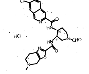 CN1CCc2nc(C(=O)N[C@@H]3CN(C=O)CC[C@@H]3NC(=O)c3cc4ccc(Cl)cc4cn3)sc2C1.Cl